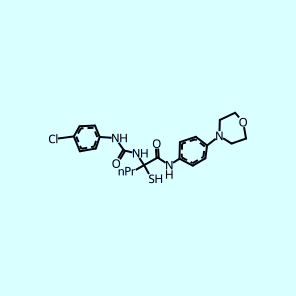 CCCC(S)(NC(=O)Nc1ccc(Cl)cc1)C(=O)Nc1ccc(N2CCOCC2)cc1